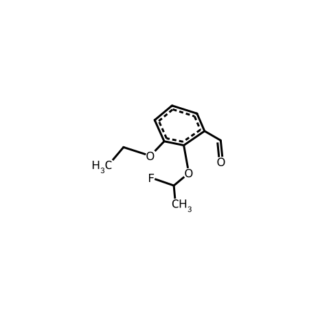 CCOc1cccc(C=O)c1OC(C)F